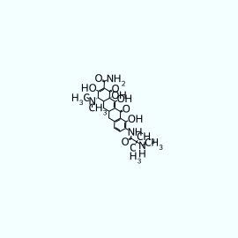 CNC(C)(C)C(=O)Nc1ccc2c(c1O)C(=O)C1=C(O)[C@]3(O)C(=O)C(C(N)=O)=C(O)[C@@H](N(C)C)C3CC1C2